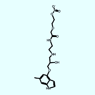 Cc1cc(OCC(O)CNCCNC(=O)COCCO[N+](=O)[O-])c2cc[nH]c2c1